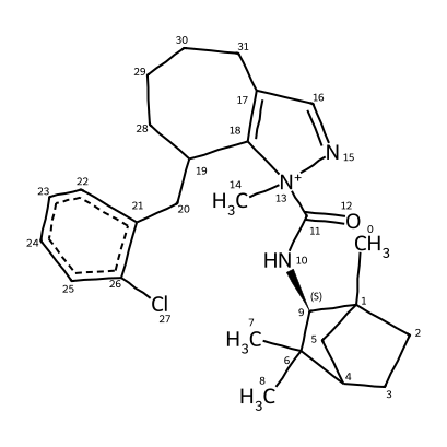 CC12CCC(C1)C(C)(C)[C@H]2NC(=O)[N+]1(C)N=CC2=C1C(Cc1ccccc1Cl)CCCC2